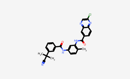 Cc1ccc(NC(=O)c2cccc(C(C)(C)C#N)c2)cc1NC(=O)c1ccc2nc(Cl)cnc2c1